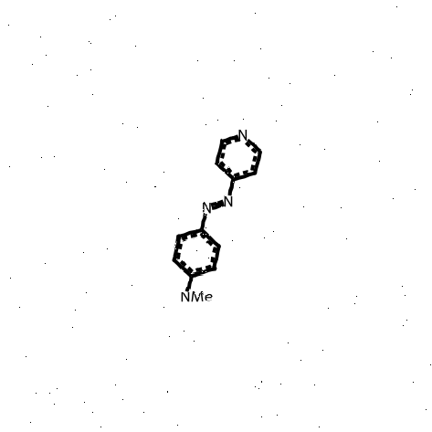 CNc1ccc(/N=N/c2ccncc2)cc1